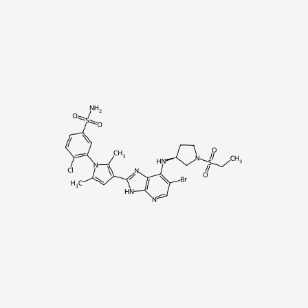 CCS(=O)(=O)N1CC[C@H](Nc2c(Br)cnc3[nH]c(-c4cc(C)n(-c5cc(S(N)(=O)=O)ccc5Cl)c4C)nc23)C1